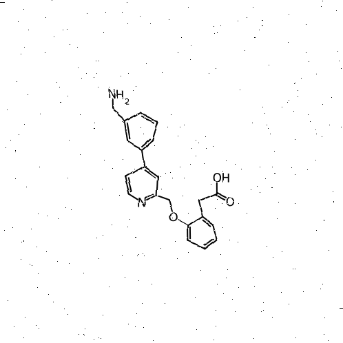 NCc1cccc(-c2ccnc(COc3ccccc3CC(=O)O)c2)c1